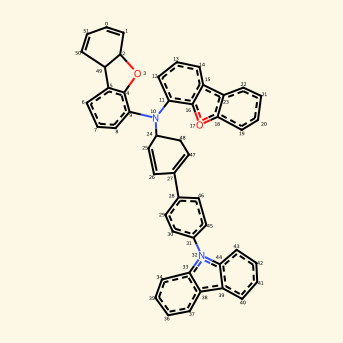 C1=CC2Oc3c(cccc3N(c3cccc4c3oc3ccccc34)C3C=CC(c4ccc(-n5c6ccccc6c6ccccc65)cc4)=CC3)C2C=C1